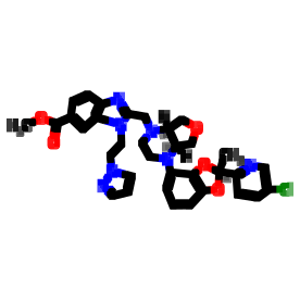 COC(=O)c1ccc2nc(CN3CCN(c4cccc5c4O[C@](C)(c4ccc(Cl)cn4)O5)[C@H]4COC[C@H]43)n(CCn3cccn3)c2c1